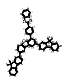 CC1(C)c2ccccc2-c2ccc(-c3ccc4oc5c(-c6ccc(-c7nc8ccccc8o7)cc6)cc(-c6ccc7c(c6)C(C)(C)c6ccccc6-7)cc5c4c3)cc21